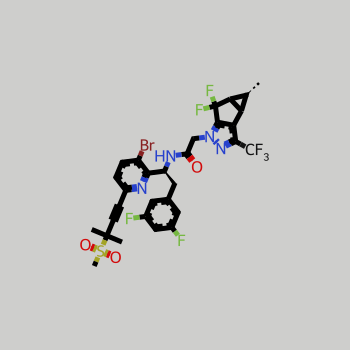 C[C@@H]1C2c3c(C(F)(F)F)nn(CC(=O)N[C@@H](Cc4cc(F)cc(F)c4)c4nc(C#CC(C)(C)S(C)(=O)=O)ccc4Br)c3C(F)(F)C21